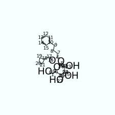 OC[C@H]1O[C@@H](OC(CCCc2ccccc2)OCC2CCC2)[C@H](O)[C@@H](O)[C@@H]1O